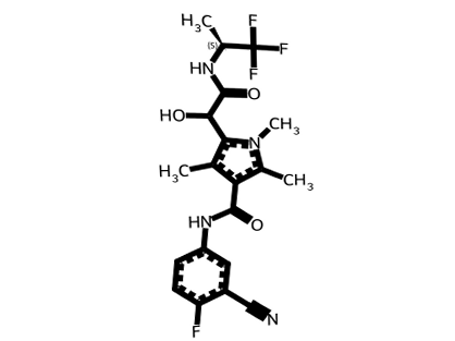 Cc1c(C(=O)Nc2ccc(F)c(C#N)c2)c(C)n(C)c1C(O)C(=O)N[C@@H](C)C(F)(F)F